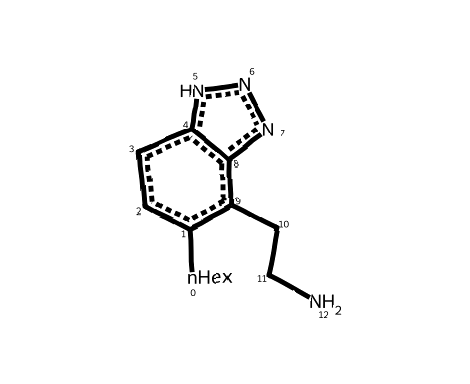 CCCCCCc1ccc2[nH]nnc2c1CCN